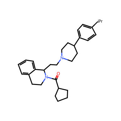 CC(C)c1ccc(C2CCN(CCC3c4ccccc4CCN3C(=O)C3CCCC3)CC2)cc1